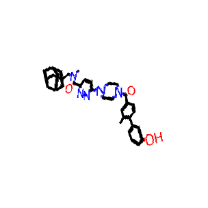 Cc1cc(C(=O)N2CCN(c3ccc(C(=O)N(C)CC45CC6CC(CC(C6)C4)C5)nn3)CC2)ccc1-c1cccc(O)c1